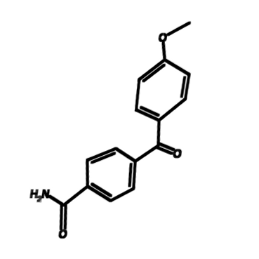 COc1ccc(C(=O)c2ccc(C(N)=O)cc2)cc1